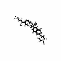 CC(=O)SCC(=O)c1ccc(NS(=O)(=O)c2ccc3nc(N4CCN(C)CC4)ncc3c2)nc1